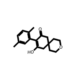 Cc1ccc(C)c(C2=C(O)CC3(CCOCC3)CC2=O)c1